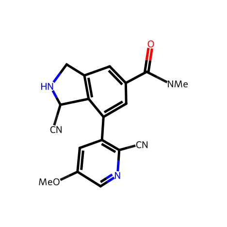 CNC(=O)c1cc2c(c(-c3cc(OC)cnc3C#N)c1)C(C#N)NC2